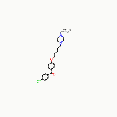 O=C(O)CN1CCN(CCCCCOc2ccc(C(=O)c3ccc(Cl)cc3)cc2)CC1